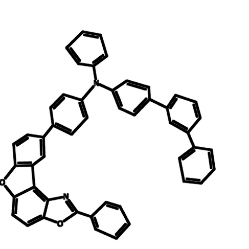 c1ccc(-c2cccc(-c3ccc(N(c4ccccc4)c4ccc(-c5ccc6oc7ccc8oc(-c9ccccc9)nc8c7c6c5)cc4)cc3)c2)cc1